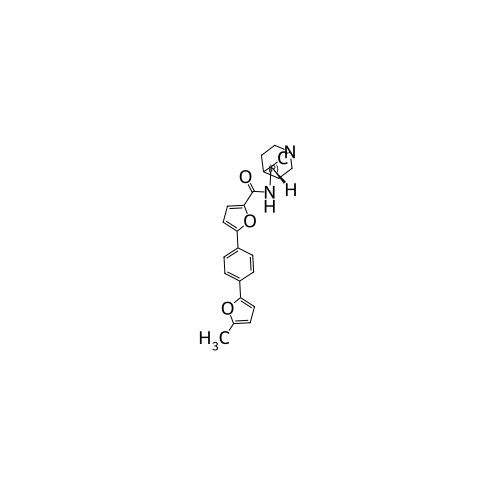 Cc1ccc(-c2ccc(-c3ccc(C(=O)N[C@H]4CN5CCC4CC5)o3)cc2)o1